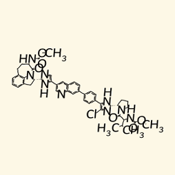 COC(=O)N[C@H]1CCc2cccc3c2N(C1=O)[C@H](c1ncc(-c2cnc4cc(-c5ccc(-c6[nH]c([C@@H]7CCCN7C(=O)[C@@H](NC(=O)OC)C(C)C)nc6Cl)cc5)ccc4c2)[nH]1)C3